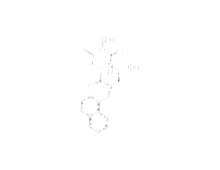 C=CCOC(=O)N(Cc1cccc2ccccc12)C[C@@H](NC(=O)OC(C)(C)C)[C@@H](C)CC